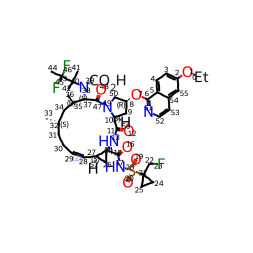 CCOc1ccc2c(O[C@@H]3C[C@H]4C(=O)N[C@]5(C(=O)NS(=O)(=O)C6(CF)CC6)C[C@H]5/C=C\CC[C@H](C)C[C@@H](C)[C@H](N(C(=O)O)C(C)(C)C(C)(F)F)C(=O)N4C3)nccc2c1